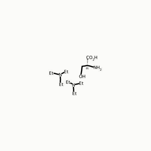 CCN(CC)CC.CCN(CC)CC.N[C@H](CO)C(=O)O